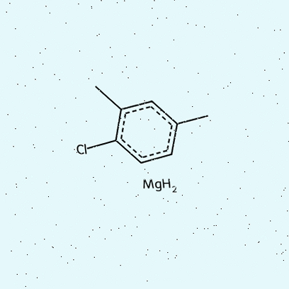 Cc1ccc(Cl)c(C)c1.[MgH2]